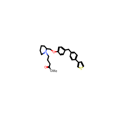 COC(=O)CCCN1CCCCC1COc1ccc(Cc2ccc(-c3ccsc3)cc2)cc1